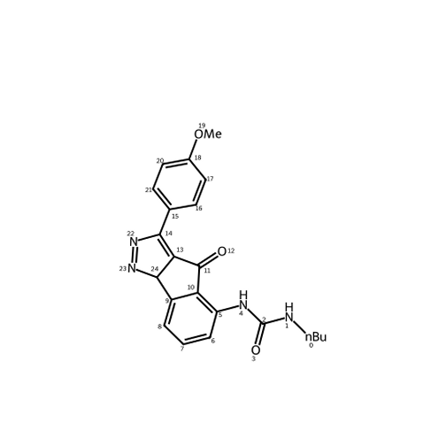 CCCCNC(=O)Nc1cccc2c1C(=O)C1=C(c3ccc(OC)cc3)N=NC12